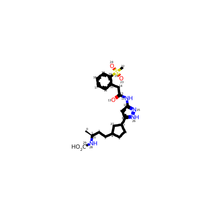 C[C@@H](CCC1CCC(c2cc(NC(=O)Cc3ccccc3S(C)(=O)=O)n[nH]2)C1)NC(=O)O